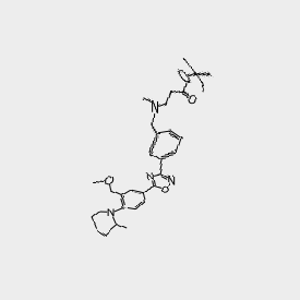 COCc1cc(-c2nc(-c3cccc(CN(C)CCC(=O)OC(C)(C)C)c3)no2)ccc1N1CCCCC1C